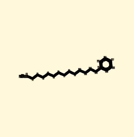 CCCCCCCCCCCCCCCCCCCCCCCc1[c]cccc1